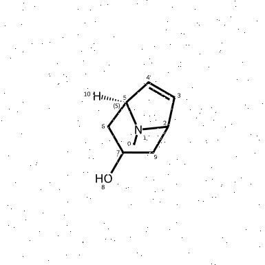 CN1C2C=C[C@@H]1CC(O)C2